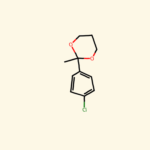 CC1(c2ccc(Cl)cc2)OCCCO1